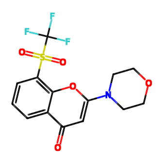 O=c1cc(N2CCOCC2)oc2c(S(=O)(=O)C(F)(F)F)cccc12